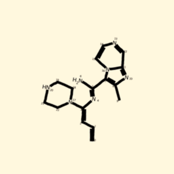 C=C/C=C(\N=C(/N)c1c(C)nc2cnccn12)N1CCNCC1